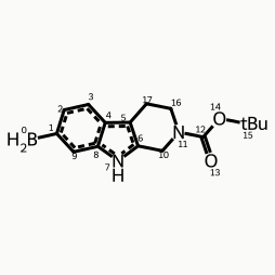 Bc1ccc2c3c([nH]c2c1)CN(C(=O)OC(C)(C)C)CC3